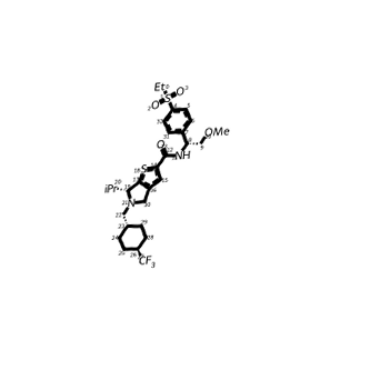 CCS(=O)(=O)c1ccc([C@H](COC)NC(=O)c2cc3c(s2)[C@@H](C(C)C)N(C[C@H]2CC[C@H](C(F)(F)F)CC2)C3)cc1